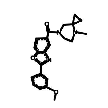 COc1cccc(-c2nc3cc(C(=O)N4CCN(C)C5(CC5)C4)ccc3o2)c1